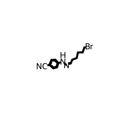 N#Cc1ccc(N/N=C\CCCCCBr)cc1